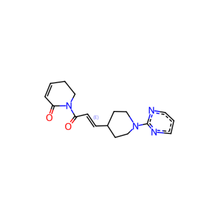 O=C1C=CCCN1C(=O)/C=C/C1CCN(c2ncccn2)CC1